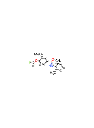 COc1cc(C(=O)Nc2c(C)cccc2C)ccc1OC(F)F